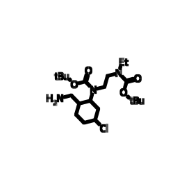 CCN(CCN(C(=O)OC(C)(C)C)C1CC(Cl)CCC1CN)C(=O)OC(C)(C)C